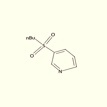 CCCCS(=O)(=O)c1cccnc1